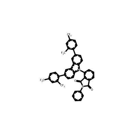 O=C1c2cccc(-n3c4ccc(-c5ccc(C(F)(F)F)cc5C(F)(F)F)cc4c4cc(-c5ccc(C(F)(F)F)cc5C(F)(F)F)ccc43)c2C(=O)N1c1ccccc1